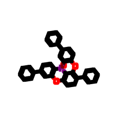 O=P12c3ccc(-c4ccccc4)cc3Oc3ccc(-c4ccccc4)c(c31)Oc1ccc(-c3ccccc3)cc12